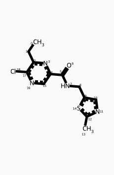 CCc1nc(C(=O)NCc2cnc(C)s2)cnc1Cl